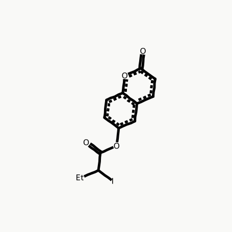 CCC(I)C(=O)Oc1ccc2oc(=O)ccc2c1